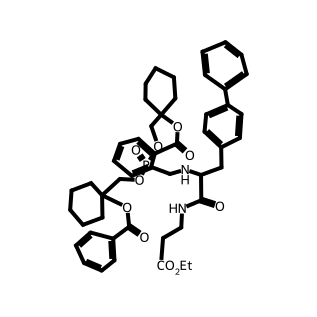 CCOC(=O)CCNC(=O)C(Cc1ccc(-c2ccccc2)cc1)NCP(=O)(OCC1(OC(=O)c2ccccc2)CCCCC1)OCC1(OC(=O)c2ccccc2)CCCCC1